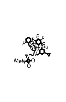 CNc1c(N(C)CCN(Cc2cc(C3CC3)cc(C(C)(C)C)c2)C(=O)CN(Cc2ccccc2F)S(=O)(=O)c2c(F)c(F)c(F)c(F)c2F)c(=O)c1=O